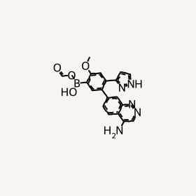 COc1cc(-c2cc[nH]n2)c(-c2ccc3c(N)cnnc3c2)cc1B(O)OC=O